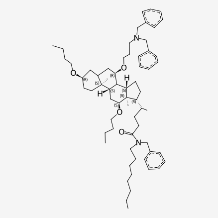 CCCCCCCCN(Cc1ccccc1)C(=O)CCC(C)[C@H]1CC[C@H]2C3[C@H](OCCCN(Cc4ccccc4)Cc4ccccc4)CC4C[C@H](OCCCC)CC[C@]4(C)[C@H]3C[C@H](OCCCC)[C@]12C